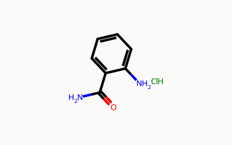 Cl.NC(=O)c1ccccc1N